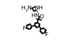 CC(C)(C(=O)NC[C@@H]1C[C@H](N)CN1)c1cc(-c2ccc(F)cc2)cc(-c2ccc(F)cc2)c1